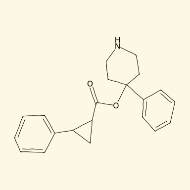 O=C(OC1(c2ccccc2)CCNCC1)C1CC1c1ccccc1